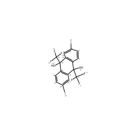 OC1(C(F)(F)F)c2ccc(I)cc2C(O)(C(F)(F)F)c2ccc(I)cc21